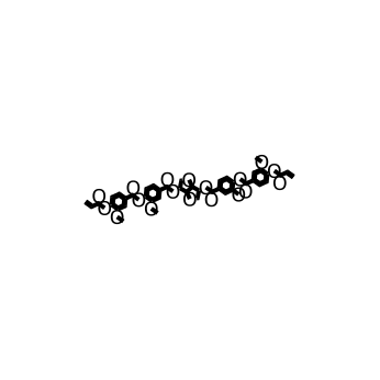 C=CC(=O)Oc1ccc(C(=O)Oc2ccc(C(=O)OC3COC4C(OC(=O)c5ccc(OC(=O)c6ccc(OC(=O)C=C)c(OC)c6)c(OC)c5)COC34)cc2OC)cc1OC